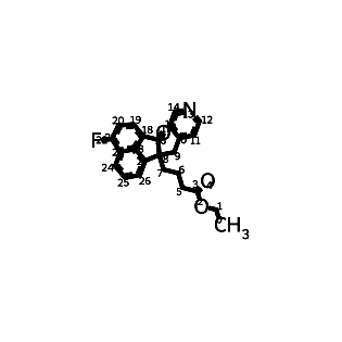 CCOC(=O)CCCC1(Cc2ccncc2)C(=O)c2ccc(F)c3cccc1c23